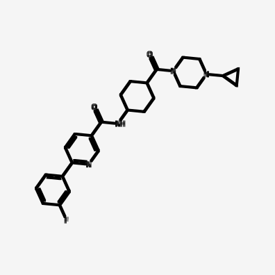 O=C(NC1CCC(C(=O)N2CCN(C3CC3)CC2)CC1)c1ccc(-c2cccc(F)c2)nc1